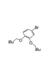 CCC(C)COc1ccc(Br)cc1OCC(C)CC